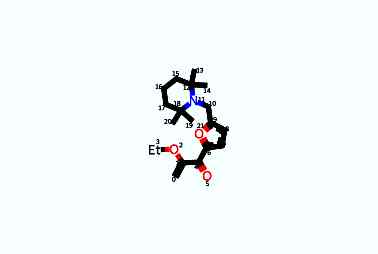 C=C(OCC)C(=O)c1ccc(CN2C(C)(C)CCCC2(C)C)o1